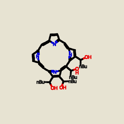 CCCCC(O)C1=CC2=CC3=NC(=CC4=NC(=CC5=NC(=C(C(O)CCCC)C1=N2)C(C(O)CCCC)=C5C(O)CCCC)C=C4)C=C3